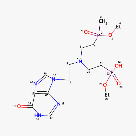 CCOP(C)(=O)CCN(CCn1cnc2c(=O)[nH]cnc21)CCP(=O)(O)OCC